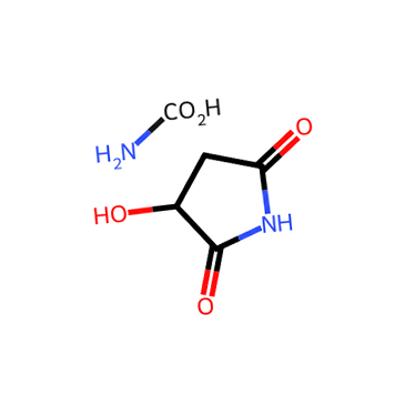 NC(=O)O.O=C1CC(O)C(=O)N1